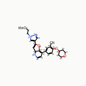 COCCn1cc(-c2cc3nccc(-c4ccc(OC5CCOCC5)c(C#N)c4)c3o2)cn1